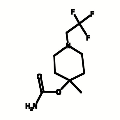 CC1(OC(N)=O)CCN(CC(F)(F)F)CC1